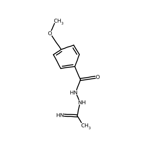 COc1ccc(C(=O)NNC(C)=N)cc1